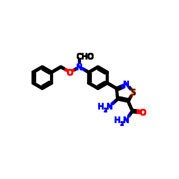 NC(=O)c1snc(-c2ccc(N(C=O)OCc3ccccc3)cc2)c1N